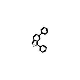 c1ccc(-c2ccc3coc(-c4ccccc4)c3c2)cc1